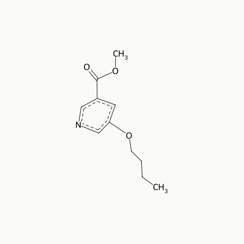 CCCCOc1cncc(C(=O)OC)c1